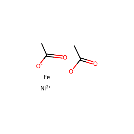 CC(=O)[O-].CC(=O)[O-].[Fe].[Ni+2]